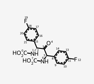 O=C(O)N[C@@H](C(=O)[C@H](NC(=O)O)c1ccc(F)cc1)c1ccc(F)cc1